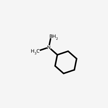 BN(C)C1CCCCC1